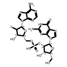 Nc1nc2c(ncn2[C@@H]2O[C@H](CO)[C@H](O)[C@@H]2OP(=O)(S)OC[C@H]2O[C@@H](n3cnc4c(N)ncnc43)C(F)[C@H]2O)c(=O)[nH]1